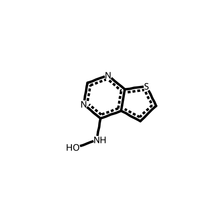 ONc1ncnc2sccc12